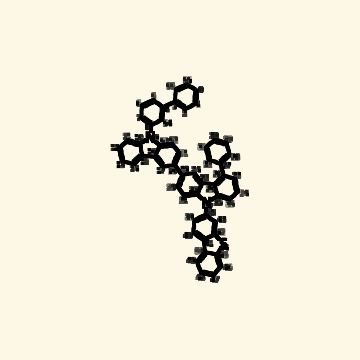 c1ccc(-c2cccc(-n3c4ccccc4c4cc(-c5ccc6c(c5)c5c(-c7ccccc7)cccc5n6-c5ccc6c(c5)sc5ccccc56)ccc43)c2)cc1